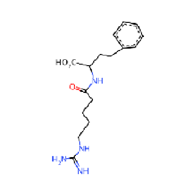 N=C(N)NCCCCC(=O)NC(CCc1ccccc1)C(=O)O